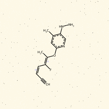 C#C/C=C\C(F)=C(/C)Oc1cc(C)c(NN)cn1